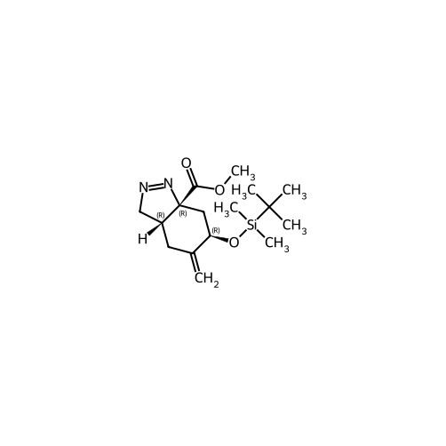 C=C1C[C@@H]2CN=N[C@]2(C(=O)OC)C[C@H]1O[Si](C)(C)C(C)(C)C